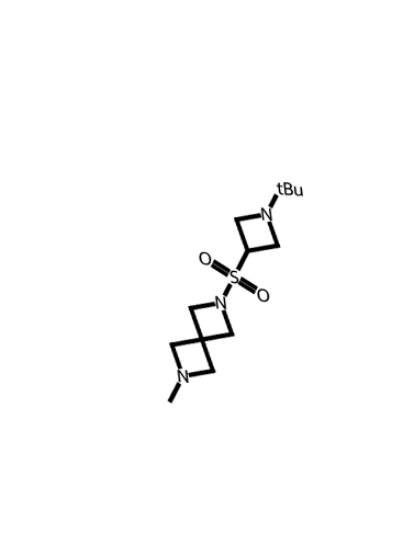 CN1CC2(C1)CN(S(=O)(=O)C1CN(C(C)(C)C)C1)C2